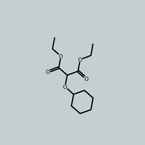 CCOC(=O)C(OC1CCCCC1)C(=O)OCC